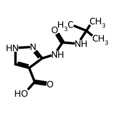 CC(C)(C)NC(=O)Nc1n[nH]cc1C(=O)O